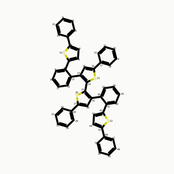 c1ccc(-c2ccc(-c3ccccc3-c3cc(-c4ccccc4)sc3-c3sc(-c4ccccc4)cc3-c3ccccc3-c3ccc(-c4ccccc4)s3)s2)cc1